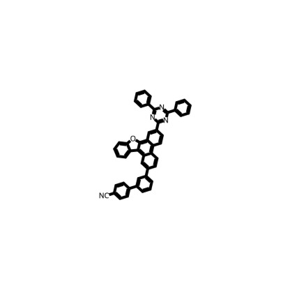 N#Cc1ccc(-c2cccc(-c3ccc4c5ccc(-c6nc(-c7ccccc7)nc(-c7ccccc7)n6)cc5c5oc6ccccc6c5c4c3)c2)cc1